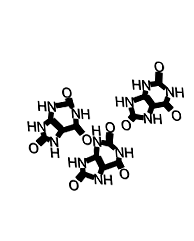 O=c1[nH]c(=O)c2[nH]c(=O)[nH]c2[nH]1.O=c1[nH]c(=O)c2[nH]c(=O)[nH]c2[nH]1.O=c1[nH]c(=O)c2[nH]c(=O)[nH]c2[nH]1